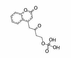 O=C(CCOP(=O)(O)O)Cc1cc(=O)oc2ccccc12